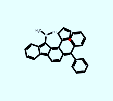 [CH3][Ti]([CH3])[C]1=c2ccccc2=c2ccc(=C(c3ccccc3)c3ccccc3)c(C3=CC=CC3)c21